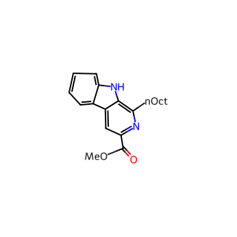 CCCCCCCCc1nc(C(=O)OC)cc2c1[nH]c1ccccc12